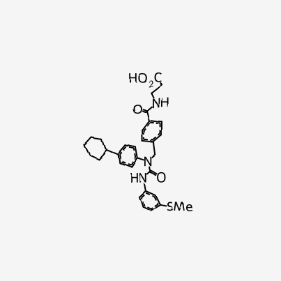 CSc1cccc(NC(=O)N(Cc2ccc(C(=O)NCCC(=O)O)cc2)c2ccc(C3CCCCC3)cc2)c1